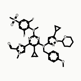 COc1ccc(CN(c2cc(C3CC3)n(C3CCCCO3)n2)c2nc(N(C)c3c(F)cc(S(C)(=O)=O)cc3F)nc(-c3cn(C)c(C=O)n3)c2C2CC2)cc1